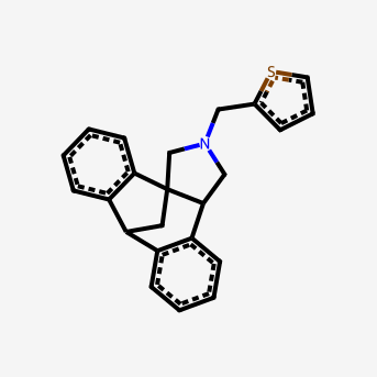 c1csc(CN2CC3c4ccccc4C4CC3(C2)c2ccccc24)c1